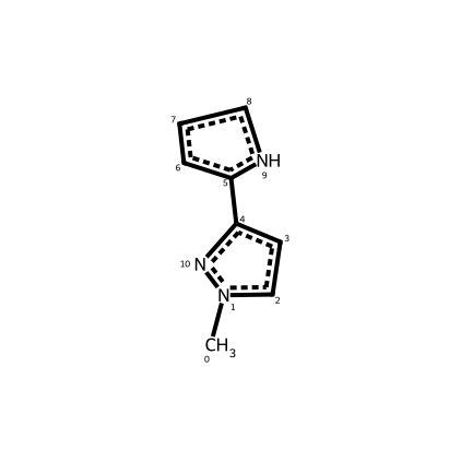 Cn1ccc(-c2ccc[nH]2)n1